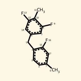 Cc1ccc(Cc2cc(F)c(C)c(F)c2)c(F)c1